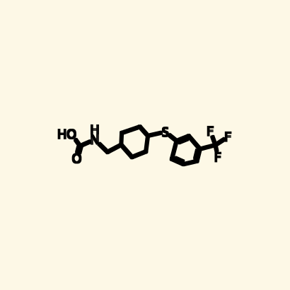 O=C(O)NCC1CCC(Sc2cccc(C(F)(F)F)c2)CC1